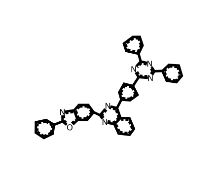 c1ccc(-c2nc(-c3ccccc3)nc(-c3ccc(-c4nc(-c5ccc6nc(-c7ccccc7)oc6c5)nc5ccccc45)cc3)n2)cc1